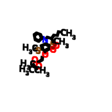 CCCCC1CN(c2ccccc2)c2cc(SC)c(O/C=C/C(=O)OC(C)(C)C)cc2S(=O)(=O)C1C